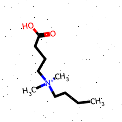 CCCC[N+](C)(C)CCCC(=O)O